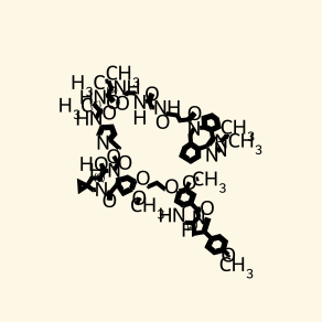 COc1ccc(C2=CN3C(=O)c4cc(OC)c(OCCCOc5cc6c(cc5OC)C(=O)N5CC7(CC7)C[C@H]5C(O)N6C(=O)OCc5ccc(NC(=O)[C@H](C)NC(=O)[C@@H](NC(=O)CNC(=O)CNC(=O)CCC(=O)N6Cc7ccccc7-c7nnn(C(C)C)c7-c7ccccc76)C(C)C)cn5)cc4NC[C@@H]3C2)cc1